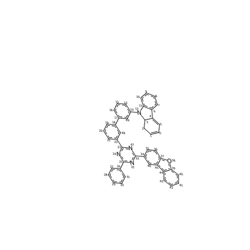 C1=CCC2C(=C1)c1ccccc1N2c1cccc(-c2cccc(-c3nc(-c4ccccc4)nc(-c4ccc5oc6ccccc6c5c4)n3)c2)c1